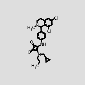 CCCN(CC1CC1)c1c(Nc2ccc(C3c4c(Cl)cc(Cl)cc4CCN3C)cc2)c(=O)c1=O